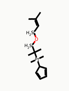 CC(C)=C[SiH2]O[SiH2][C](C)(C)[Pt]([CH3])([CH3])[CH]1C=CC=C1